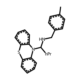 CCCC(NCc1ccc(C)cc1)N1c2ccccc2Sc2ccccc21